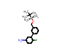 CC(C)(C)[Si](C)(C)OCc1cccc(-c2cc(N)ccc2F)c1